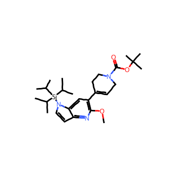 COc1nc2ccn([Si](C(C)C)(C(C)C)C(C)C)c2cc1C1=CCN(C(=O)OC(C)(C)C)CC1